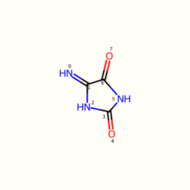 N=C1NC(=O)NC1=O